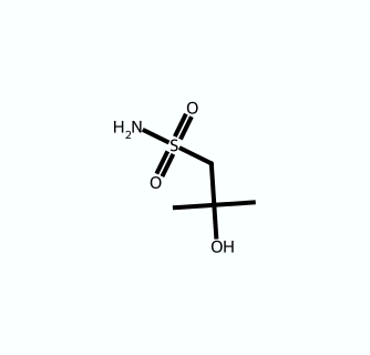 CC(C)(O)CS(N)(=O)=O